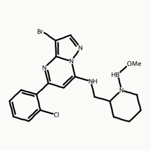 COBN1CCCCC1CNc1cc(-c2ccccc2Cl)nc2c(Br)cnn12